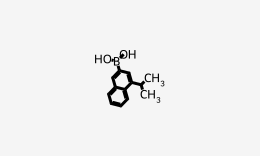 CC(C)c1cc(B(O)O)cc2ccccc12